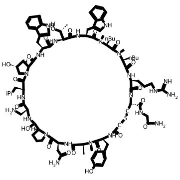 CCCC[C@H]1C(=O)N(C)[C@@H](CCCC)C(=O)N[C@@H](CCCNC(=N)N)C(=O)N[C@H](C(=O)NCC(N)=O)CSCC(=O)N[C@@H](Cc2ccc(O)cc2)C(=O)N(C)[C@@H](C)C(=O)N[C@@H](CC(N)=O)C(=O)N2CCC[C@H]2C(O)N[C@@H](CN)C(=O)N[C@@H](CC(C)C)C(=O)N2C[C@H](O)C[C@H]2C(=O)N[C@@H](Cc2c[nH]c3ccccc23)C(=O)N[C@@H]([C@@H](C)O)C(=O)N[C@@H](Cc2c[nH]c3ccccc23)C(=O)N1C